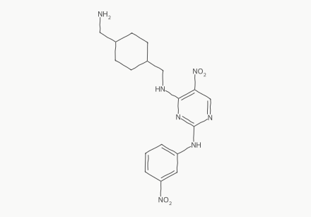 NCC1CCC(CNc2nc(Nc3cccc([N+](=O)[O-])c3)ncc2[N+](=O)[O-])CC1